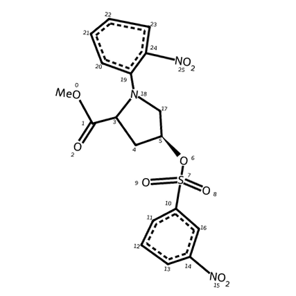 COC(=O)C1C[C@H](OS(=O)(=O)c2cccc([N+](=O)[O-])c2)CN1c1ccccc1[N+](=O)[O-]